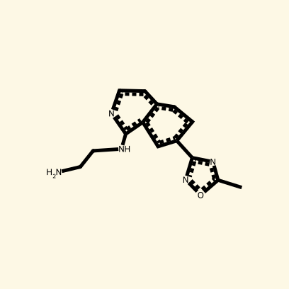 Cc1nc(-c2ccc3ccnc(NCCN)c3c2)no1